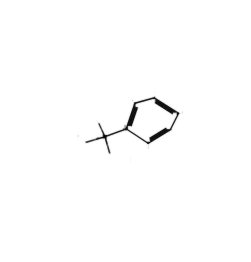 O=C(O)C(C(=O)O)(c1ccccc1)C(F)(F)F